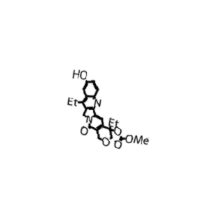 CCc1c2c(nc3ccc(O)cc13)-c1cc3c(c(=O)n1C2)COCC3(CC)OC(=O)OC